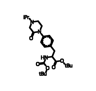 CC(C)N1CCN(c2ccc(CC(NC(=O)OC(C)(C)C)C(=O)OC(C)(C)C)cc2)C(=O)C1